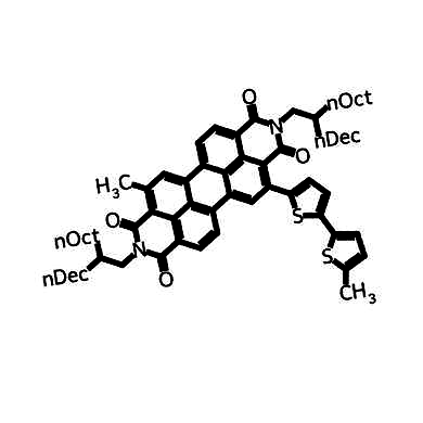 CCCCCCCCCCC(CCCCCCCC)CN1C(=O)c2ccc3c4cc(-c5ccc(-c6ccc(C)s6)s5)c5c6c(ccc(c7cc(C)c(c2c73)C1=O)c64)C(=O)N(CC(CCCCCCCC)CCCCCCCCCC)C5=O